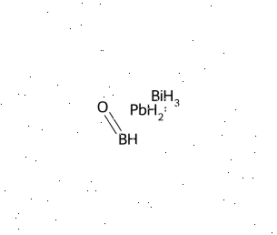 B=O.[BiH3].[PbH2]